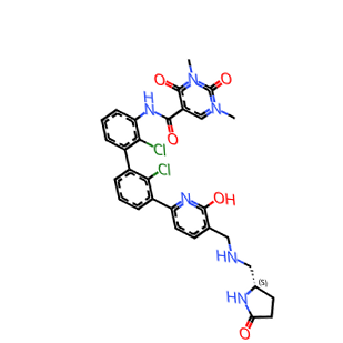 Cn1cc(C(=O)Nc2cccc(-c3cccc(-c4ccc(CNC[C@@H]5CCC(=O)N5)c(O)n4)c3Cl)c2Cl)c(=O)n(C)c1=O